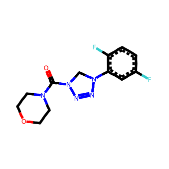 O=C(N1CCOCC1)N1CN(c2cc(F)ccc2F)N=N1